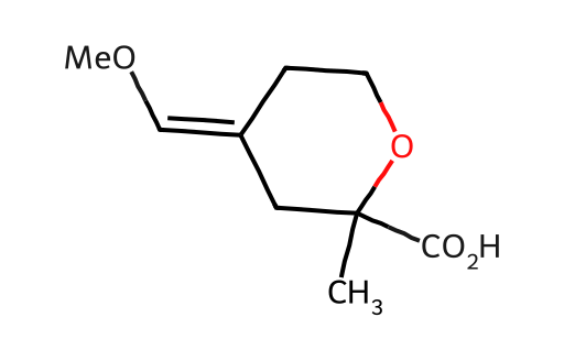 COC=C1CCOC(C)(C(=O)O)C1